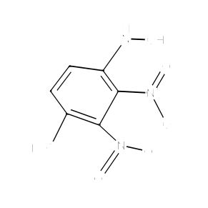 Cc1ccc(NO)c([N+](=O)[O-])c1[N+](=O)[O-]